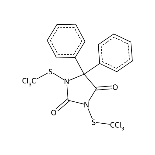 O=C1N(SC(Cl)(Cl)Cl)C(=O)C(c2ccccc2)(c2ccccc2)N1SC(Cl)(Cl)Cl